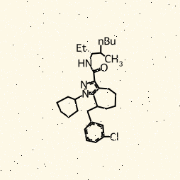 CCCCC(C)[C@@H](CC)NC(=O)c1nn(C2CCCCC2)c2c1CCCCC2Cc1cccc(Cl)c1